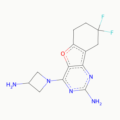 Nc1nc(N2CC(N)C2)c2oc3c(c2n1)CC(F)(F)CC3